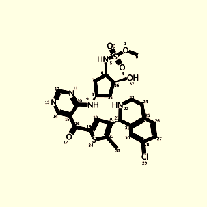 COS(=O)(=O)N[C@@H]1C[C@@H](Nc2ncncc2C(=O)c2cc([C@@H]3NCCc4ccc(Cl)cc43)c(C)s2)C[C@@H]1O